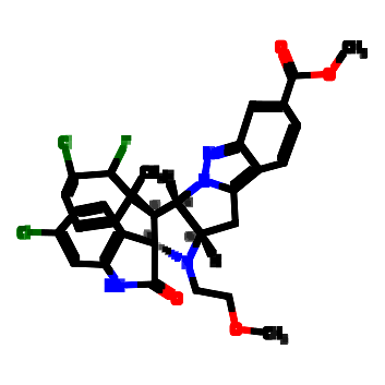 COCCN1[C@H]2Cc3c4ccc(C(=O)OC)cc4nn3[C@H]2[C@H](C2(C)C=CC=C(Cl)C2F)[C@]12C(=O)Nc1cc(Cl)ccc12